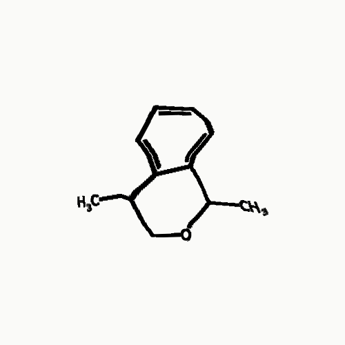 CC1COC(C)c2ccccc21